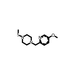 COc1ccc(CN2CCN(SC)CC2)nc1